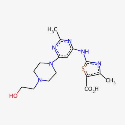 Cc1nc(Nc2nc(C)c(C(=O)O)s2)cc(N2CCN(CCO)CC2)n1